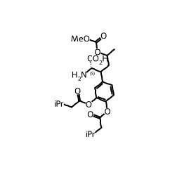 COC(=O)OC(C)CC(c1ccc(OC(=O)CC(C)C)c(OC(=O)CC(C)C)c1)[C@H](N)C(=O)O